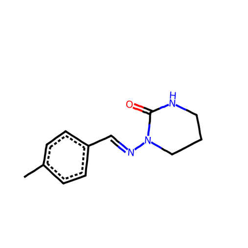 Cc1ccc(C=NN2CCCNC2=O)cc1